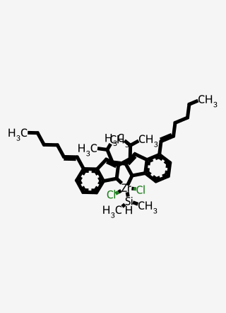 CCCCC=Cc1cccc2c1C=C(CC(C)C)[CH]2[Zr]([Cl])([Cl])([CH]1C(CC(C)C)=Cc2c(C=CCCCC)cccc21)[SiH](C)C